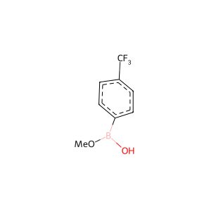 COB(O)c1ccc(C(F)(F)F)cc1